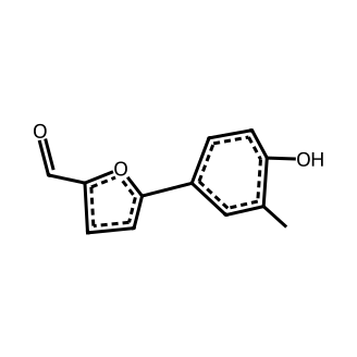 Cc1cc(-c2ccc(C=O)o2)ccc1O